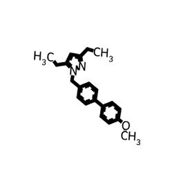 CCc1cc(CC)n(Cc2ccc(-c3ccc(OC)cc3)cc2)n1